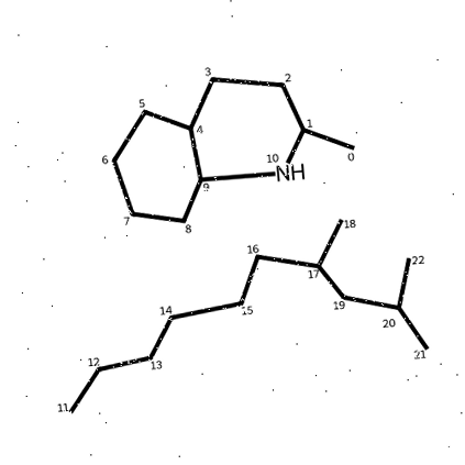 CC1CCC2CCCCC2N1.CCCCCCC(C)CC(C)C